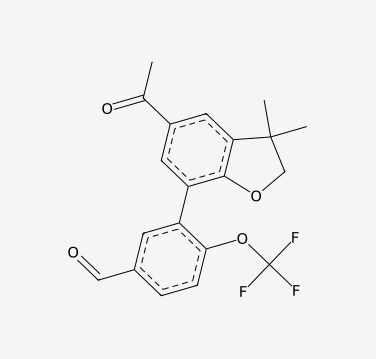 CC(=O)c1cc(-c2cc(C=O)ccc2OC(F)(F)F)c2c(c1)C(C)(C)CO2